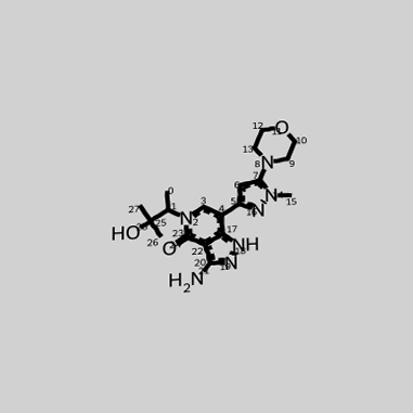 CC(n1cc(-c2cc(N3CCOCC3)n(C)n2)c2[nH]nc(N)c2c1=O)C(C)(C)O